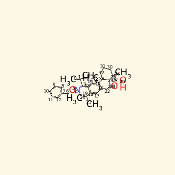 CC(C)/C(=N\OCc1ccccc1)c1cc2c(cc1C(C)C)CCC1C(C)(C(=O)O)CCC[C@]21C